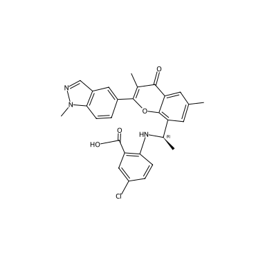 Cc1cc([C@@H](C)Nc2ccc(Cl)cc2C(=O)O)c2oc(-c3ccc4c(cnn4C)c3)c(C)c(=O)c2c1